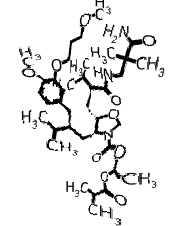 COCCCOc1cc(C[C@@H](C[C@H]2[C@H](C[C@H](C(=O)NCC(C)(C)C(N)=O)C(C)C)OCN2C(=O)OC(C)OC(=O)C(C)C)C(C)C)ccc1OC